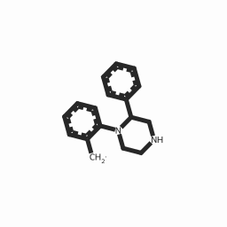 [CH2]c1ccccc1N1CCNCC1c1ccccc1